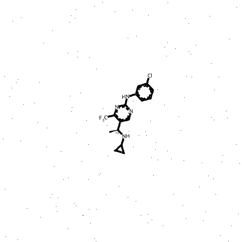 C[C@H](NC1CC1)c1cnc(Nc2cccc(Cl)c2)nc1C(F)(F)F